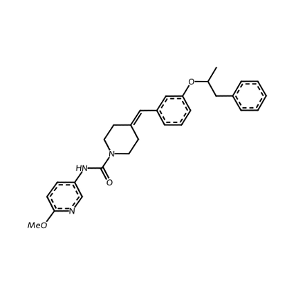 COc1ccc(NC(=O)N2CCC(=Cc3cccc(OC(C)Cc4ccccc4)c3)CC2)cn1